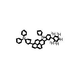 [2H]c1c([2H])c([2H])c(-c2ccc3c(c2)c2cc4ccc5ccc(-c6ccc(N(c7ccccc7)c7ccccc7)cc6)c6ccc(c4c56)c2n3-c2ccccc2)c([2H])c1[2H]